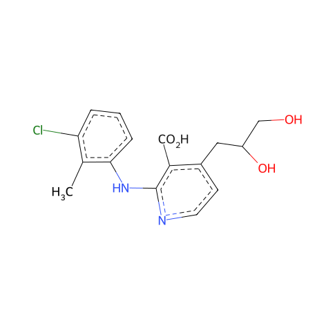 Cc1c(Cl)cccc1Nc1nccc(CC(O)CO)c1C(=O)O